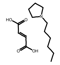 CCCCCCN1CCCC1.O=C(O)C=CC(=O)O